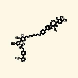 Cc1ncsc1-c1ccc(CNC(=O)[C@@H]2C[C@@H](O)CN2C(=O)[C@@H](NC(=O)COCCOCCOc2ccc(-c3ccc(N4CSCN(c5ccc(C#N)c(C(F)(F)F)c5F)C(=O)C4(C)C)cn3)cc2)C(C)(C)C)cc1